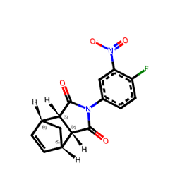 O=C1[C@@H]2[C@H](C(=O)N1c1ccc(F)c([N+](=O)[O-])c1)[C@@H]1C=C[C@H]2C1